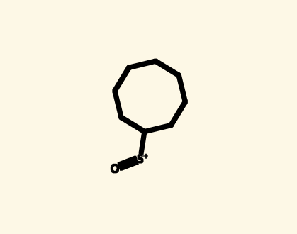 O=[S+]C1CCCCCCC1